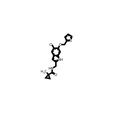 CC1(C(=O)NCc2cc3cc(Cl)c(OCc4cccs4)cc3[nH]2)CC1